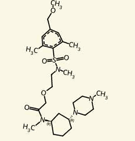 COCc1cc(C)c(S(=O)(=O)N(C)CCOCC(=O)N(C)[C@@H]2CCC[C@@H](N3CCN(C)CC3)C2)c(C)c1